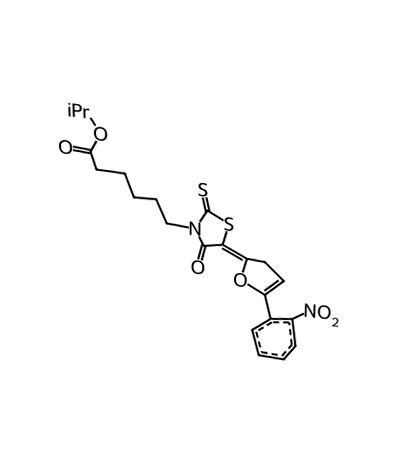 CC(C)OC(=O)CCCCCN1C(=O)C(=C2CC=C(c3ccccc3[N+](=O)[O-])O2)SC1=S